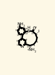 C[C@@H]1CCC[C@H](N)c2cc(ccn2)-c2ccc(N)cc2NC1=O